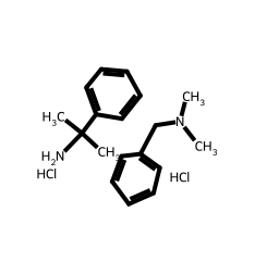 CC(C)(N)c1ccccc1.CN(C)Cc1ccccc1.Cl.Cl